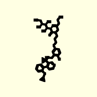 O=C([C@@H](O)[C@@H](O)[C@H](O)[C@@H](O)CO)N(CCCCO)CCCSc1ccc(Cl)c(CNC2(c3cnccc3-c3ccccc3OC3CC3)CC2)c1